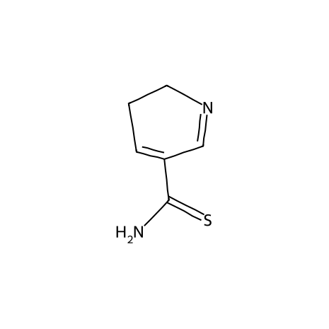 NC(=S)C1=CCCN=C1